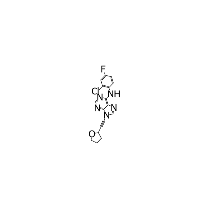 Fc1ccc(Nc2ncnc3c2ncn3C#CC2CCCO2)c(Cl)c1